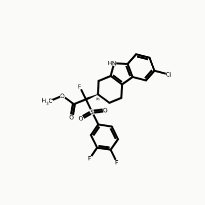 COC(=O)C(F)([C@@H]1CCc2c([nH]c3ccc(Cl)cc23)C1)S(=O)(=O)c1ccc(F)c(F)c1